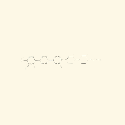 CCCCCC1CCC(C2CC=C(c3ccc(-c4ccc(-c5ccc(OCC)c(F)c5F)cc4)cc3F)CC2)CC1